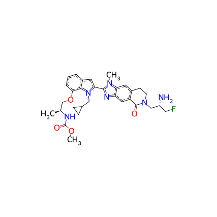 COC(=O)N[C@@H](C)COc1cccc2cc(-c3nc4cc5c(cc4n3C)CCN(C[C@H](N)CF)C5=O)n(CC3CC3)c12